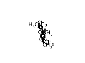 CC(C)CS(=O)(=O)N1CCC(N)(C(=O)Nc2ccc(C(C)C)cc2)CC1